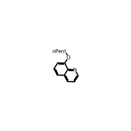 CCCCCOc1cccc2cccnc12